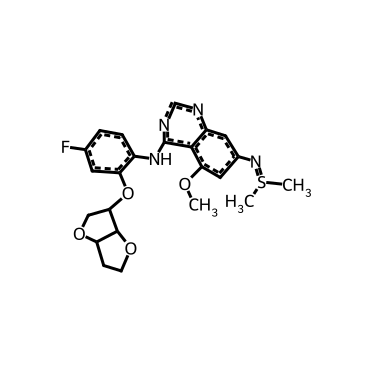 COc1cc(N=S(C)C)cc2ncnc(Nc3ccc(F)cc3OC3COC4CCOC43)c12